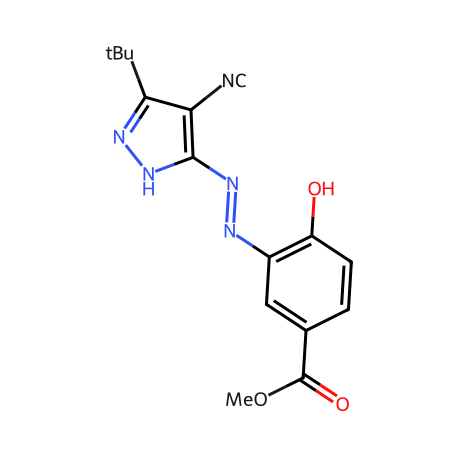 [C-]#[N+]c1c(C(C)(C)C)n[nH]c1/N=N/c1cc(C(=O)OC)ccc1O